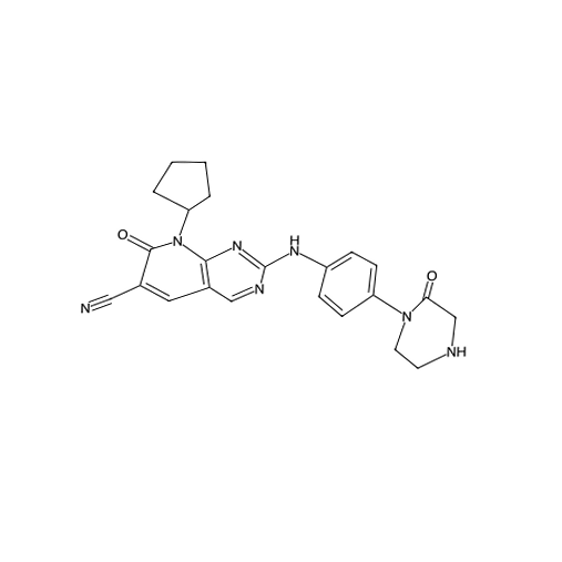 N#Cc1cc2cnc(Nc3ccc(N4CCNCC4=O)cc3)nc2n(C2CCCC2)c1=O